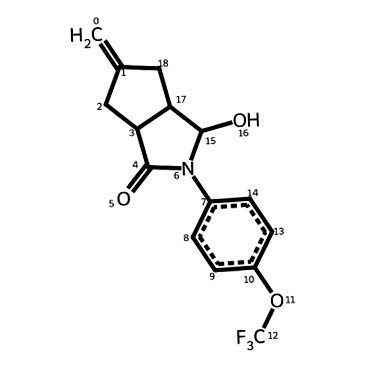 C=C1CC2C(=O)N(c3ccc(OC(F)(F)F)cc3)C(O)C2C1